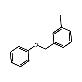 Ic1cccc(COc2ccccc2)c1